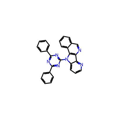 c1ccc(-c2nc(-c3ccccc3)nc(-n3c4cccnc4c4ncc5ccccc5c43)n2)cc1